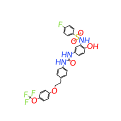 O=C(Nc1ccc(CCOc2ccc(OC(F)(F)F)cc2)cc1)Nc1ccc(O)c(NS(=O)(=O)c2ccc(F)cc2)c1